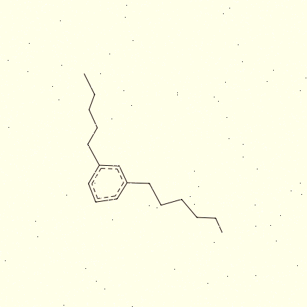 CCCCCCc1cccc(CCCCC)c1